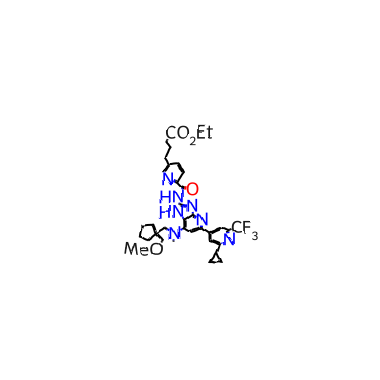 CCOC(=O)CCCc1ccc(C(=O)Nc2nc3nc(-c4cc(C5CC5)nc(C(F)(F)F)c4)cc(N(C)CC4(COC)CCCC4)c3[nH]2)nc1